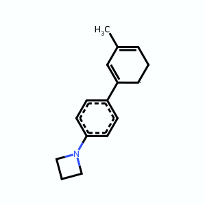 CC1=CC[CH]C(c2ccc(N3CCC3)cc2)=C1